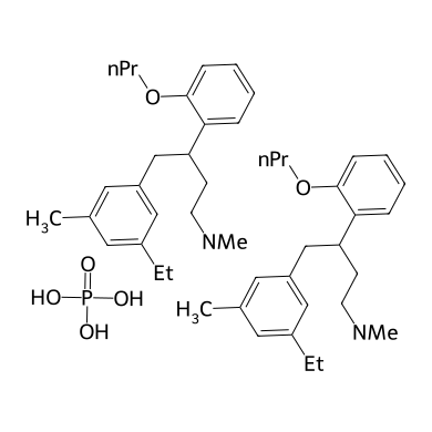 CCCOc1ccccc1C(CCNC)Cc1cc(C)cc(CC)c1.CCCOc1ccccc1C(CCNC)Cc1cc(C)cc(CC)c1.O=P(O)(O)O